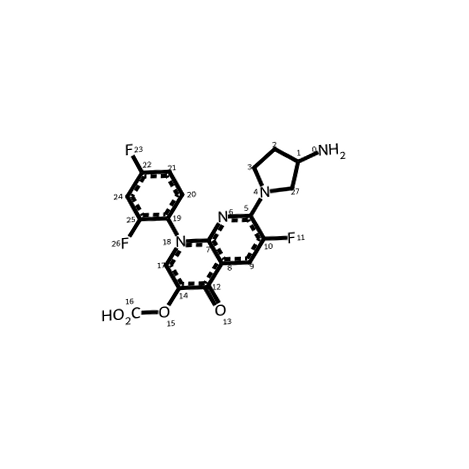 NC1CCN(c2nc3c(cc2F)c(=O)c(OC(=O)O)cn3-c2ccc(F)cc2F)C1